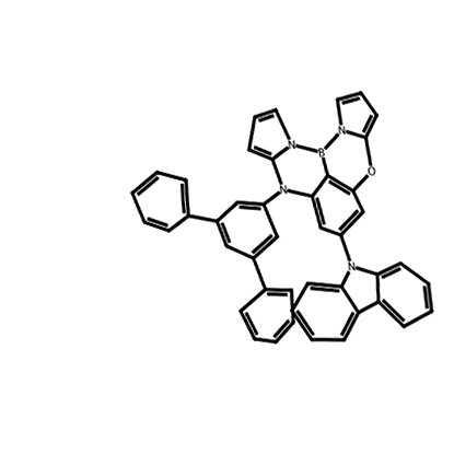 c1ccc(-c2cc(-c3ccccc3)cc(N3c4cc(-n5c6ccccc6c6ccccc65)cc5c4B(n4cccc4O5)n4cccc43)c2)cc1